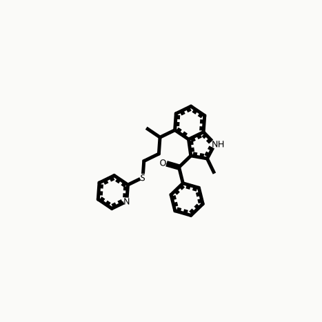 Cc1[nH]c2cccc(C(C)CCSc3ccccn3)c2c1C(=O)c1ccccc1